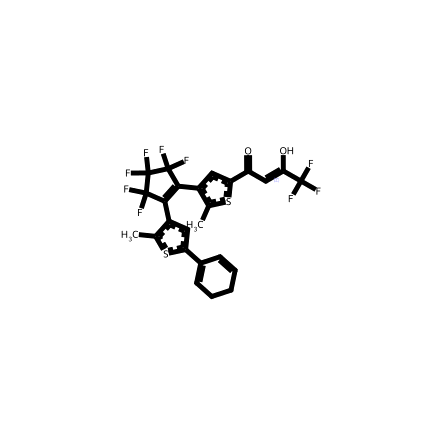 Cc1sc(C(=O)/C=C(\O)C(F)(F)F)cc1C1=C(c2cc(C3=CCCC=C3)sc2C)C(F)(F)C(F)(F)C1(F)F